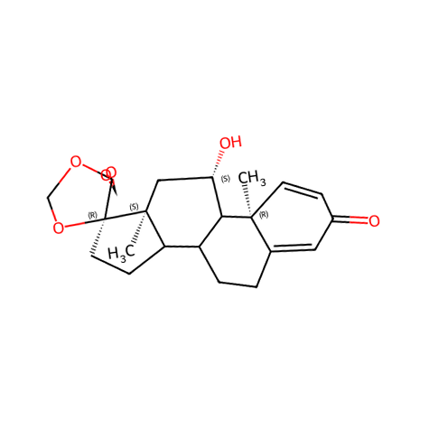 C[C@]12C=CC(=O)C=C1CCC1C2[C@@H](O)C[C@@]2(C)C1CC[C@@]21OCOC12COCO2